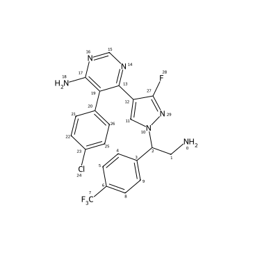 NCC(c1ccc(C(F)(F)F)cc1)n1cc(-c2ncnc(N)c2-c2ccc(Cl)cc2)c(F)n1